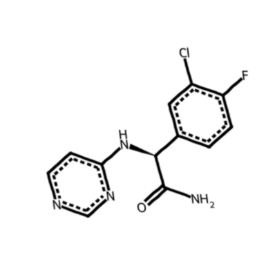 NC(=O)[C@@H](Nc1ccncn1)c1ccc(F)c(Cl)c1